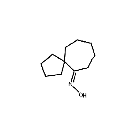 ON=C1CCCCCC12CCCC2